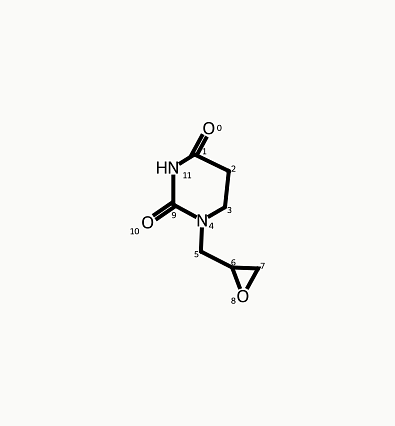 O=C1CCN(CC2CO2)C(=O)N1